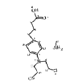 CN.O=C(O)CCCc1ccc(N(CCCl)CCCl)cc1